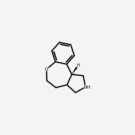 c1ccc2c(c1)OCCC1CNC[C@@H]21